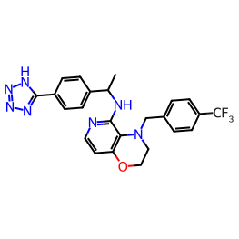 CC(Nc1nccc2c1N(Cc1ccc(C(F)(F)F)cc1)CCO2)c1ccc(-c2nnn[nH]2)cc1